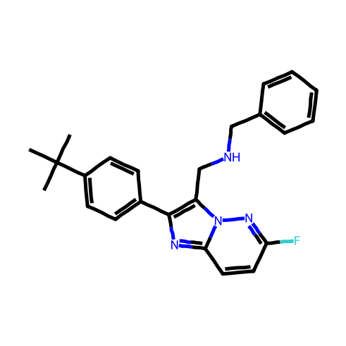 CC(C)(C)c1ccc(-c2nc3ccc(F)nn3c2CNCc2ccccc2)cc1